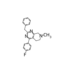 CN1CCc2c(nc(Cc3ccccc3)nc2-c2ccc(F)cc2)C1